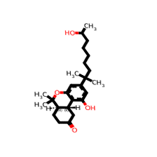 CC(O)CCCCCC(C)(C)c1cc(O)c2c(c1)OC(C)(C)[C@@H]1CCC(=O)C[C@@H]21